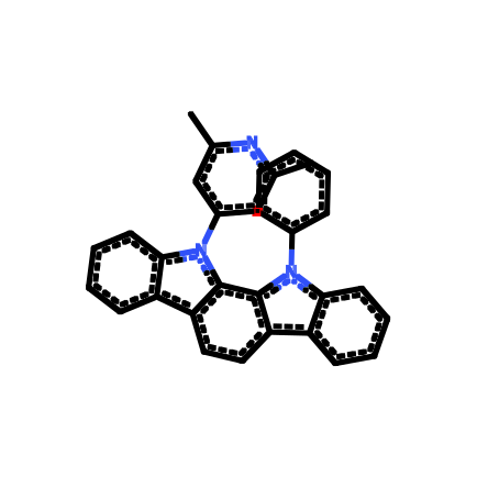 Cc1cc(-n2c3ccccc3c3ccc4c5ccccc5n(-c5ccccc5)c4c32)cc(C)n1